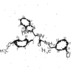 COc1ccc(C[C@@H](NC(=O)N[C@@H](C)c2cccc(Cl)c2)c2nc3ccccc3[nH]2)cc1